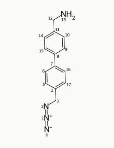 [N-]=[N+]=NCc1ccc(-c2ccc(CN)cc2)cc1